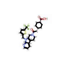 O=C(C[C@H]1CC[C@H](C(=O)O)CC1)N1CCc2c(n(Cc3ccc(C(F)(F)F)s3)c3ncccc23)C1